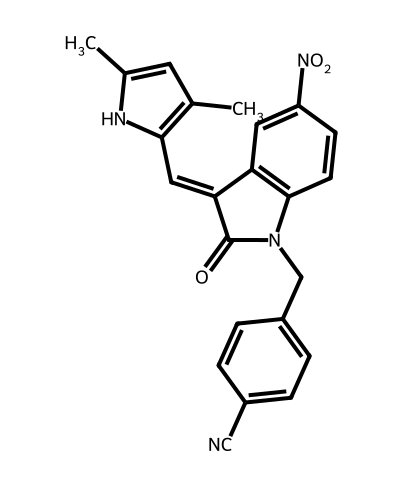 Cc1cc(C)c(C=C2C(=O)N(Cc3ccc(C#N)cc3)c3ccc([N+](=O)[O-])cc32)[nH]1